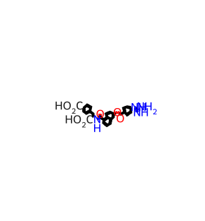 N=C(N)Nc1ccc(C(=O)Oc2ccc3c(C(=O)N[C@@H](Cc4ccc(C(=O)O)cc4)C(=O)O)cccc3c2)cc1